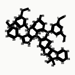 CCc1cc(CC)cc(N2c3cc4c5c(sc4cc3B3c4scc(-c6ccccc6)c4N(c4cc(CC)cc(CC)c4)c4cc(C)cc2c43)C(C)(C)c2ccccc2-5)c1